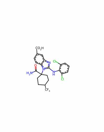 NC(=O)C1(n2c(Nc3c(Cl)cccc3Cl)nc3cc(C(=O)O)ccc32)CCC(C(F)(F)F)CC1